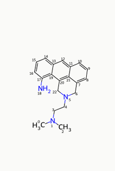 CN(C)CCN1Cc2cccc3cc4cccc(N)c4c(c23)C1